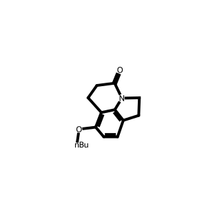 CCCCOc1ccc2c3c1CCC(=O)N3CC2